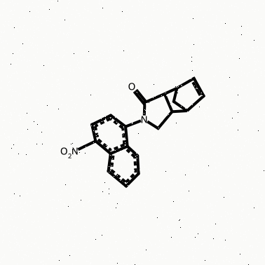 O=C1C2C3C=CC(C3)C2CN1c1ccc([N+](=O)[O-])c2ccccc12